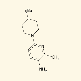 CCCCC1CCN(c2ccc(N)c(C)n2)CC1